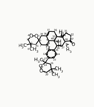 CC1(C)COOC2(CC[C@@]34Cc5cc(C6(C)CC(C)(C)COO6)ccc5[C@H]5C[C@]6(C)C(=O)CC[C@H]6[C@H](CC=C3C2)[C@H]54)C1